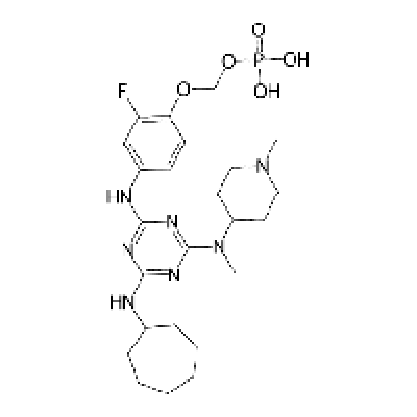 CN1CCC(N(C)c2nc(Nc3ccc(OCOP(=O)(O)O)c(F)c3)nc(NC3CCCCCC3)n2)CC1